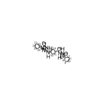 O=C(NNS(=O)(=O)c1ccccc1)c1ccc(Nc2nn(-c3ccccc3)c(=O)[nH]2)cc1